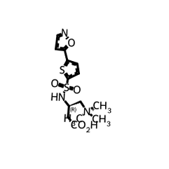 C[N+](C)(C)C[C@@H](CC(=O)O)NS(=O)(=O)c1ccc(-c2ccno2)s1